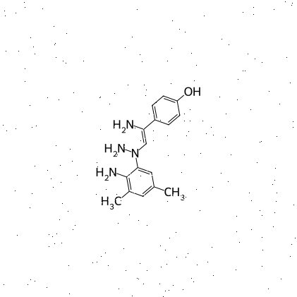 Cc1cc(C)c(N)c(N(N)/C=C(\N)c2ccc(O)cc2)c1